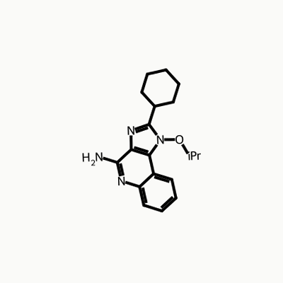 CC(C)On1c(C2CCCCC2)nc2c(N)nc3ccccc3c21